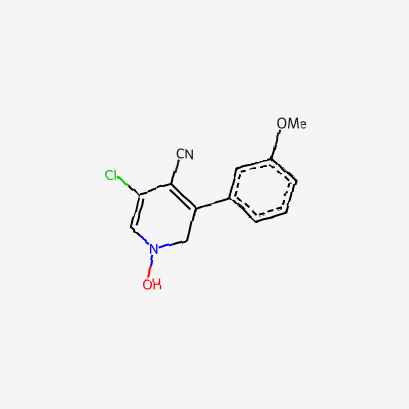 COc1cccc(C2=C(C#N)C(Cl)=CN(O)C2)c1